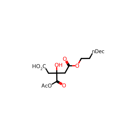 CCCCCCCCCCCCOC(=O)CC(O)(CC(=O)O)C(=O)OC(C)=O